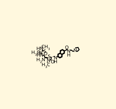 CCN1C(=O)[C@@H](CNc2ccc3cc(C(=O)NCCN4CCCC4)ccc3c2)S/C1=C(/N)C(=O)NN(C)C(=S)NC